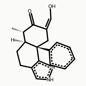 C[C@@H]1C(=O)C(=CO)C[C@]2(c3ccccc3)c3n[nH]cc3CC[C@@H]12